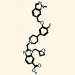 COC(=O)c1ccc2nc(CN3CCC(c4ccc(F)c(OCc5ccc6cnn(C)c6c5)c4)CC3)n(CC3CCO3)c2c1